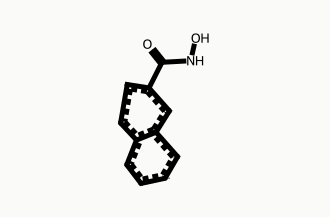 O=C(NO)c1ccc2cc[c]cc2c1